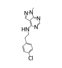 Cn1ncc2c(NCCc3ccc(Cl)cc3)ncnc21